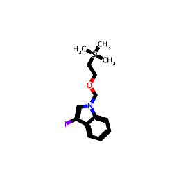 C[Si](C)(C)CCOCn1cc(I)c2ccccc21